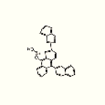 OBOc1c2ccccc2c(-c2ccc3ccccc3c2)c2ccc(-c3ccc4ccccc4c3)cc12